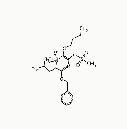 CCCCOC1=C(OS(C)(=O)=O)N=C(OCc2ccccc2)C(CC(C)C)[N+]1(C)[O-]